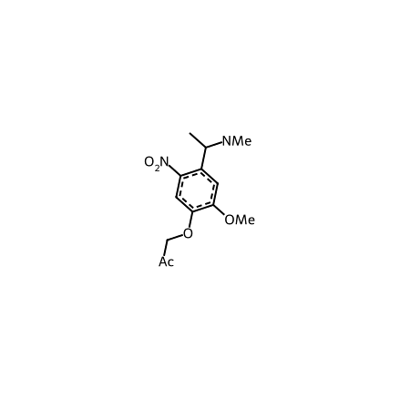 CNC(C)c1cc(OC)c(OCC(C)=O)cc1[N+](=O)[O-]